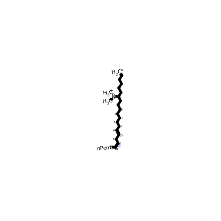 C=CCCCCC(CCCCCCCC=CC/C=C\CCCCC)N(C)C